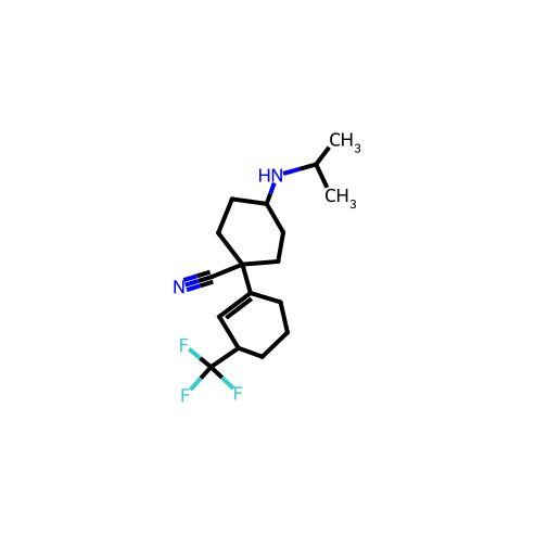 CC(C)NC1CCC(C#N)(C2=CC(C(F)(F)F)CCC2)CC1